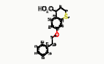 O=C(O)C1CCSc2cc(OCCc3ccccc3)ccc21